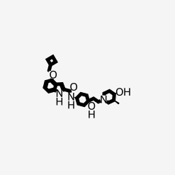 C[C@H]1CN(CC[C@]2(O)CC[C@@H](NC(=O)c3cc4c(OCC5CCC5)cccc4[nH]3)CC2)CC[C@@H]1O